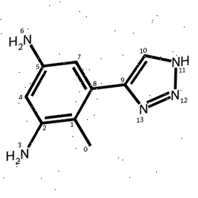 Cc1c(N)cc(N)cc1-c1c[nH]nn1